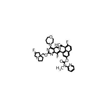 C#Cc1c(F)ccc2cc(OC(=O)N(C)c3ccccn3)cc(-c3ncc4c(N5CCCOCC5)nc(OC[C@@]56CCCN5C[C@H](F)C6)nc4c3F)c12